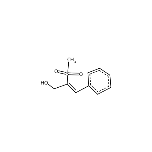 CS(=O)(=O)C(=Cc1ccccc1)CO